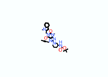 CC#CCn1c(N2CCCC(NC(=O)OC(C)(C)C)C2)nc2c1c(=O)n(Cc1cc3ccccc3n1C)c(=O)n2C